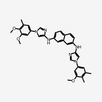 COc1cc(-n2cnc(Nc3ccc4ccc(Nc5cn(-c6cc(C)c(OC)c(OC)c6)cn5)cc4c3)c2)cc(C)c1C